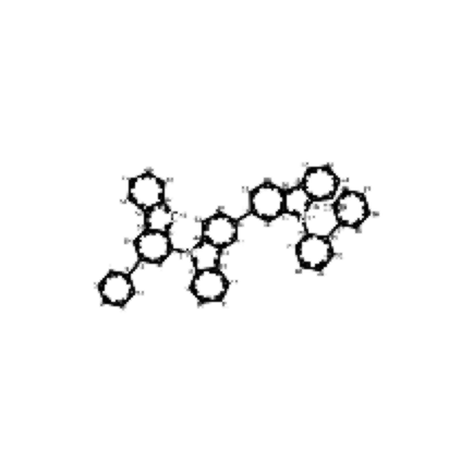 c1ccc(-c2cc(-n3c4ccccc4c4cc(-c5ccc6c7ccccc7n(-c7ccccc7-c7ccccc7)c6c5)ccc43)c3oc4ccccc4c3c2)cc1